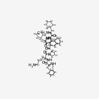 CN[C@@H](Cc1ccccc1)C(=O)N[C@@H](CCCCN)C(=O)N1CCC[C@H]1C(=O)c1cc2ccccc2c(NC(=O)[C@@H](N)CC2CCCCC2)c1C(=O)[C@H](N)CC1CCCCC1